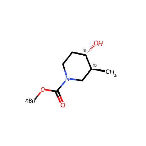 CCCCOC(=O)N1CC[C@H](O)[C@@H](C)C1